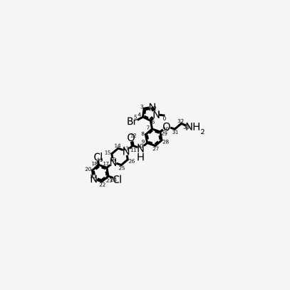 Cn1ncc(Br)c1-c1cc(NC(=O)N2CCN(c3c(Cl)cncc3Cl)CC2)ccc1OCCN